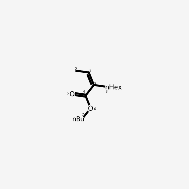 CC=C(CCCCCC)C(=O)OCCCC